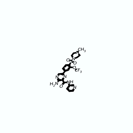 CN1CCN(S(=O)(=O)c2ccc(-c3cnc(N)c(C(=O)Nc4cccnc4)n3)cc2OC(F)(F)F)CC1